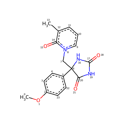 COc1ccc(C2(Cn3cccc(C)c3=O)NC(=O)NC2=O)cc1